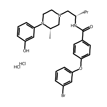 CC(C)[C@@H](CN1CCN(c2cccc(O)c2)[C@@H](C)C1)NC(=O)c1ccc(Oc2cccc(Br)c2)cc1.Cl.Cl